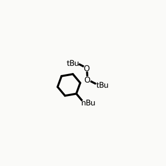 CC(C)(C)OOC(C)(C)C.CCCCC1CCCCC1